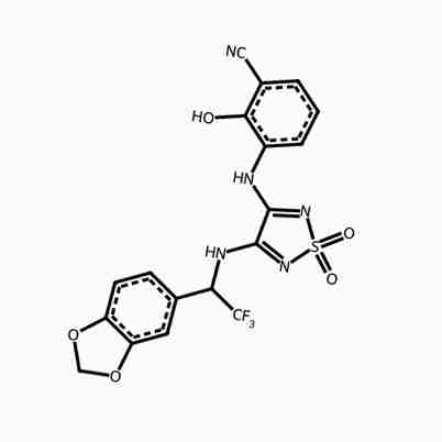 N#Cc1cccc(NC2=NS(=O)(=O)N=C2NC(c2ccc3c(c2)OCO3)C(F)(F)F)c1O